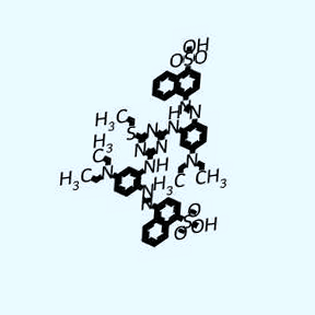 CCSc1nc(Nc2cc(N(CC)CC)ccc2/N=N/c2ccc(S(=O)(=O)O)c3ccccc23)nc(Nc2cc(N(CC)CC)ccc2/N=N/c2ccc(S(=O)(=O)O)c3ccccc23)n1